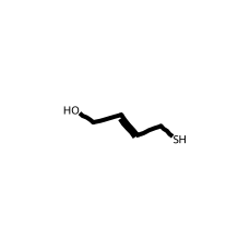 OC/C=C/CS